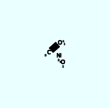 [C-]#[O+].[N].[O]